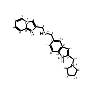 c1ccn2cc(CNCc3ccc4[nH]c(CN5CCCC5)cc4c3)nc2c1